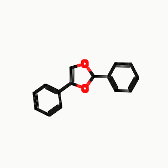 C1=C(c2ccccc2)OC(c2ccccc2)O1